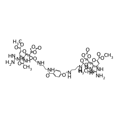 COC(=O)C1=C[C@H](NC(=N)N)[C@H](NC(C)=O)[C@H]([C@H](OC(=O)NCCCNCOc2ccc(C(=O)NCCCNCOO[C@@H]([C@@H]3OC(C(=O)OC)=C[C@H](NC(=N)N)[C@H]3NC(C)=O)[C@H]3COC(=O)O3)cc2)[C@H]2COC(=O)O2)O1